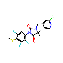 CSc1c(F)cc(N2C(=O)N(Cc3ccnc(Cl)c3)C(C)(C)C2=O)c(F)c1F